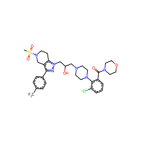 CS(=O)(=O)N1CCc2c(c(-c3ccc(C(F)(F)F)cc3)nn2CC(O)CN2CCN(c3c(Cl)cccc3C(=O)N3CCOCC3)CC2)C1